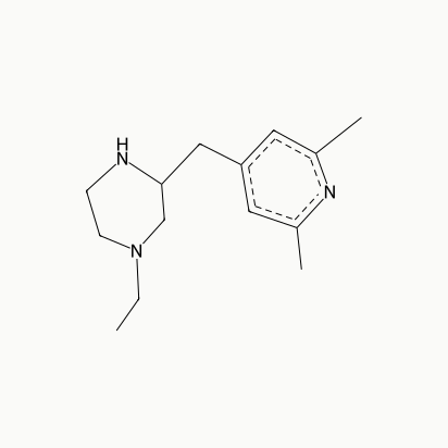 CCN1CCNC(Cc2cc(C)nc(C)c2)C1